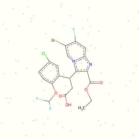 CCOC(=O)c1nc2cc(F)c(Br)cn2c1C(CC(=O)O)c1cc(Cl)ccc1OC(F)F